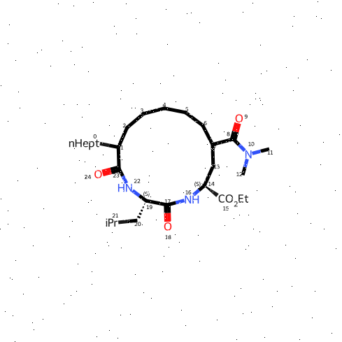 CCCCCCCC1CCCCCC(C(=O)N(C)C)C[C@@H](C(=O)OCC)NC(=O)[C@H](CC(C)C)NC1=O